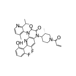 C=CC(=O)N1CCC(n2c(=O)c(=O)n(-c3c(C)ccnc3C(C)C)c3nc(-c4c(O)cccc4F)c(F)cc32)[C@H](C)C1